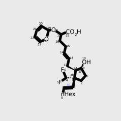 CCCCCC/C=C/[C@]1([C](F)F)CC[C@H](O)[C@@H]1CC=CCCC(OC1C=CC=CO1)C(=O)O